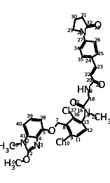 COc1nc2c(OCc3c(Cl)ccc(N(C)C(=O)CNC(=O)/C=C/c4ccc(N5CCCC5=O)cc4)c3Cl)cccc2n1C